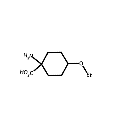 CCOC1CCC(N)(C(=O)O)CC1